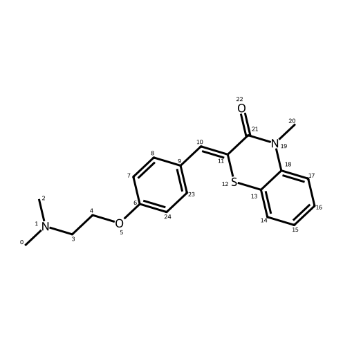 CN(C)CCOc1ccc(/C=C2\Sc3ccccc3N(C)C2=O)cc1